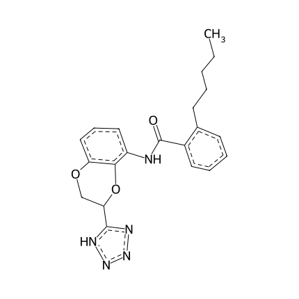 CCCCCc1ccccc1C(=O)Nc1cccc2c1OC(c1nnn[nH]1)CO2